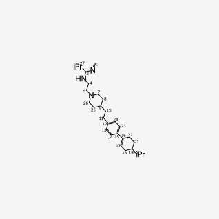 C=NC(NCCN1CCC(CCc2ccc(C3=CCC(C(C)C)CC3)cc2)CC1)C(C)C